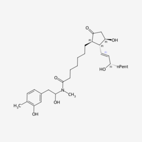 CCCCC[C@H](O)/C=C/[C@H]1[C@H](O)CC(=O)[C@@H]1CCCCCCC(=O)N(C)C(O)Cc1ccc(C)c(O)c1